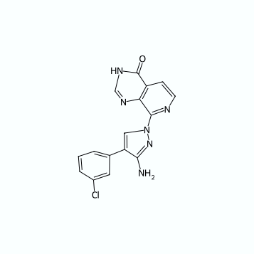 Nc1nn(-c2nccc3c(=O)[nH]cnc23)cc1-c1cccc(Cl)c1